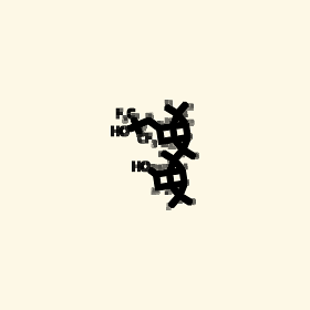 CC1(C)C2C3C(C)(C4(C)C5C6C(C)(C)C67C(CC(O)(C(F)(F)F)C(F)(F)F)CC547)C34C(O)CC214